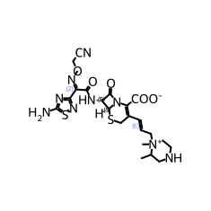 CC1CNCC[N+]1(C)C/C=C/C1=C(C(=O)[O-])N2C(=O)[C@@H](NC(=O)/C(=N\OCC#N)c3nsc(N)n3)[C@@H]2SC1